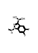 OB(O)c1nn(PI)c2cc(F)c(F)cc12